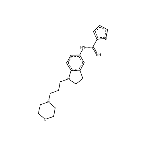 N=C(Nc1ccc2c(c1)CCN2CCCN1CCOCC1)c1cccs1